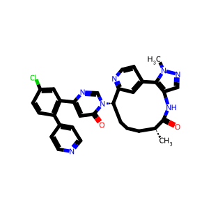 C[C@@H]1CCC[C@H](n2cnc(-c3cc(Cl)ccc3-c3ccncc3)cc2=O)c2cc(ccn2)-c2c(cnn2C)NC1=O